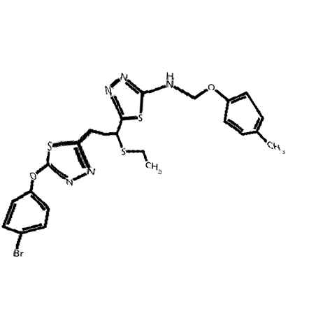 CCSC(Cc1nnc(Oc2ccc(Br)cc2)s1)c1nnc(NCOc2ccc(C)cc2)s1